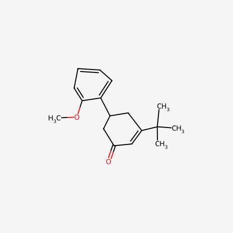 COc1ccccc1C1CC(=O)C=C(C(C)(C)C)C1